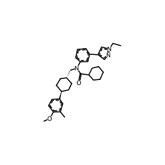 CCn1cc(-c2cccc(N(C[C@H]3CC[C@H](c4ccc(OC)c(C)c4)CC3)C(=O)C3CCCCC3)c2)cn1